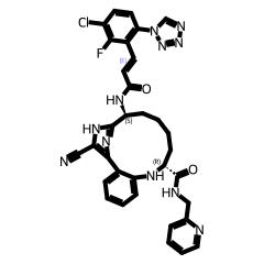 N#Cc1[nH]c2nc1-c1ccccc1N[C@@H](C(=O)NCc1ccccn1)CCCC[C@@H]2NC(=O)/C=C/c1c(-n2cnnn2)ccc(Cl)c1F